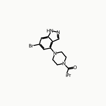 CC(C)C(=O)N1CCN(c2cc(Br)cc3[nH]ncc23)CC1